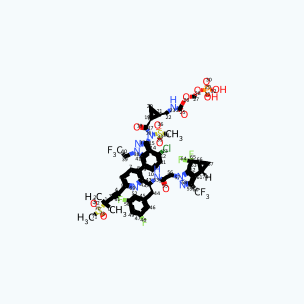 CC(C)(C#Cc1ccc(-c2ccc(Cl)c3c(N(C(=O)[C@H]4C[C@H]4CNC(=O)OCOP(=O)(O)O)S(C)(=O)=O)nn(CC(F)(F)F)c23)c([C@H](Cc2cc(F)cc(F)c2)NC(=O)Cn2nc(C(F)(F)F)c3c2C(F)(F)C2C[C@H]32)n1)S(C)(=O)=O